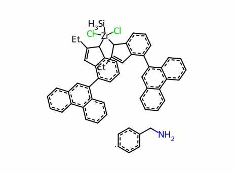 CCC1=Cc2c(-c3cc4ccccc4c4ccccc34)cccc2[CH]1[Zr]([SiH3])([Cl])([Cl])[CH]1C(CC)=Cc2c(-c3cc4ccccc4c4ccccc34)cccc21.NCc1cc[c]cc1